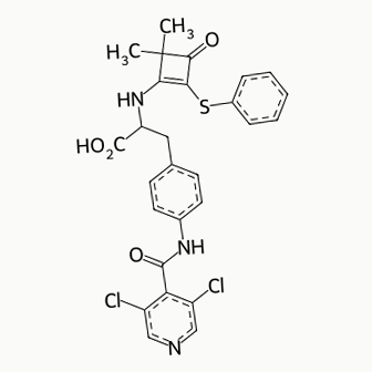 CC1(C)C(=O)C(Sc2ccccc2)=C1NC(Cc1ccc(NC(=O)c2c(Cl)cncc2Cl)cc1)C(=O)O